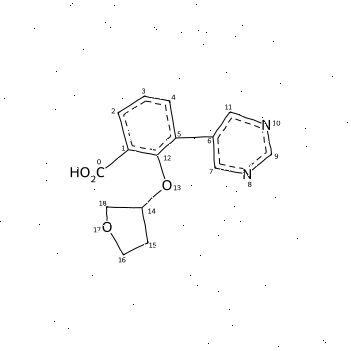 O=C(O)c1cccc(-c2cncnc2)c1OC1CCOC1